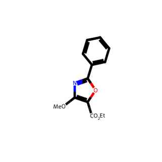 CCOC(=O)c1oc(-c2ccccc2)nc1OC